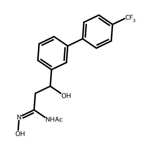 CC(=O)N/C(CC(O)c1cccc(-c2ccc(C(F)(F)F)cc2)c1)=N\O